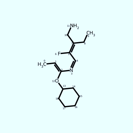 C/C=C(/N=C\C(F)=C(/CC)CN)OC1CCCCC1